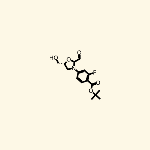 CC(C)(C)OC(=O)c1ccc(N2C[C@H](CO)OC2C=O)cc1F